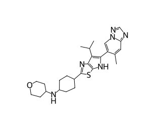 Cc1cc2ncnn2cc1-c1[nH]c2sc(C3CCC(NC4CCOCC4)CC3)nc2c1C(C)C